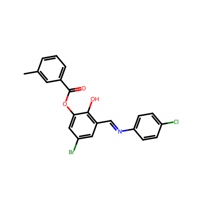 Cc1cccc(C(=O)Oc2cc(Br)cc(C=Nc3ccc(Cl)cc3)c2O)c1